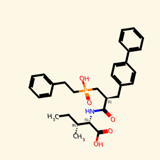 CC[C@@H](C)[C@H](NC(=O)[C@H](Cc1ccc(-c2ccccc2)cc1)CP(=O)(O)CCc1ccccc1)C(=O)O